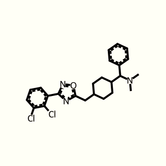 CN(C)C(c1ccccc1)C1CCC(Cc2nc(-c3cccc(Cl)c3Cl)no2)CC1